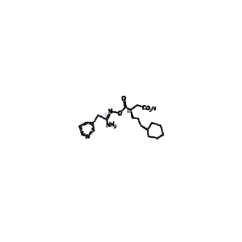 N/C(Cc1cccnc1)=N\OC(=O)[C@H](CCCC1CCCCC1)CC(=O)O